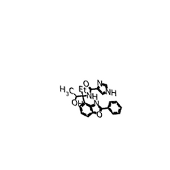 CC[C@@](NC(=O)c1c[nH]cn1)(c1cccc2oc(-c3ccccc3)nc12)[C@H](C)O